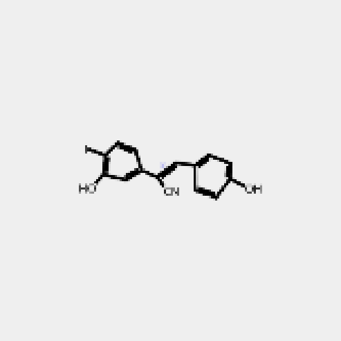 N#C/C(=C\c1ccc(O)cc1)c1ccc(I)c(O)c1